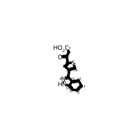 O=C(O)CC(=O)c1cc(-c2n[nH]c3ccccc23)cs1